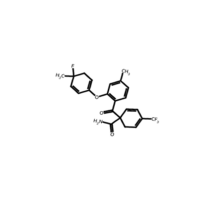 Cc1ccc(C(=O)C2(C(N)=O)C=CC(C(F)(F)F)=CC2)c(OC2=CCC(C)(F)C=C2)c1